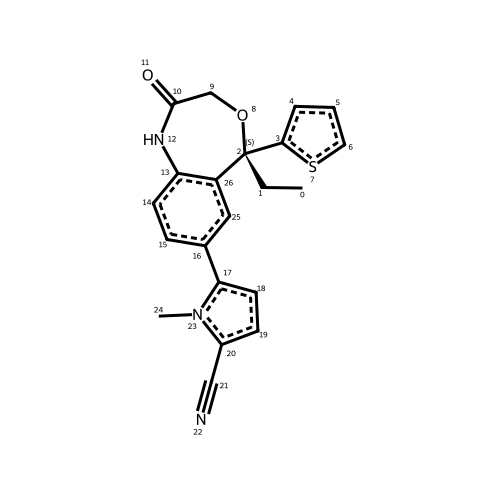 CC[C@]1(c2cccs2)OCC(=O)Nc2ccc(-c3ccc(C#N)n3C)cc21